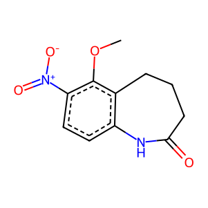 COc1c([N+](=O)[O-])ccc2c1CCCC(=O)N2